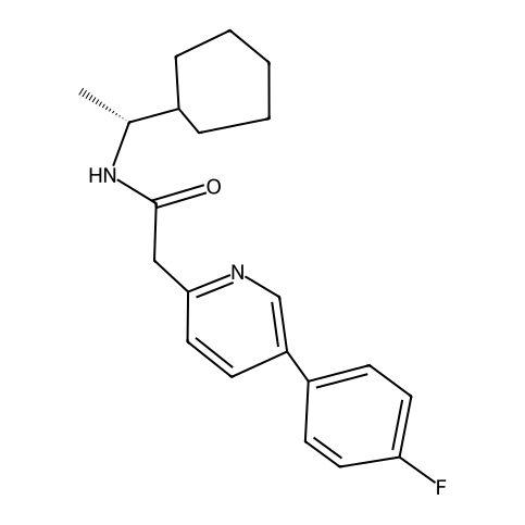 C[C@@H](NC(=O)Cc1ccc(-c2ccc(F)cc2)cn1)C1CCCCC1